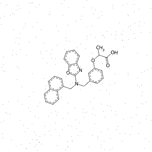 CC(Oc1cccc(CN(Cc2cccc3ccccc23)c2nc3ccccc3o2)c1)C(=O)O